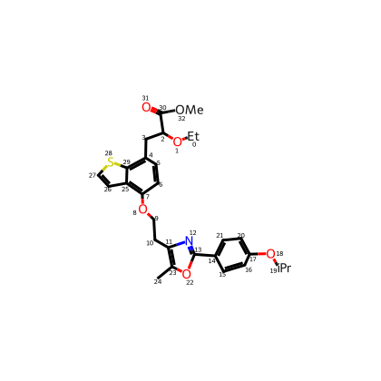 CCOC(Cc1ccc(OCCc2nc(-c3ccc(OC(C)C)cc3)oc2C)c2ccsc12)C(=O)OC